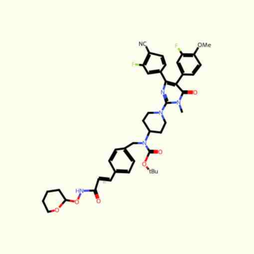 COc1ccc(-c2c(-c3ccc(C#N)c(F)c3)nc(N3CCC(N(Cc4ccc(/C=C/C(=O)NOC5CCCCO5)cc4)C(=O)OC(C)(C)C)CC3)n(C)c2=O)cc1F